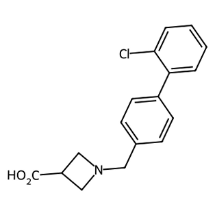 O=C(O)C1CN(Cc2ccc(-c3ccccc3Cl)cc2)C1